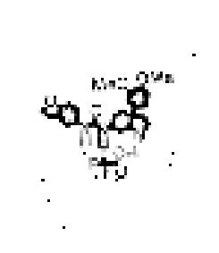 COc1ccc(C23CCC(NC(=O)Nc4ccc5c(c4)CCO5)CC2N(C)CC3)cc1OC.O=C(O)C(F)(F)F